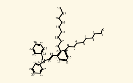 CCCCCCCCCc1cccc(/C=C/N(c2ccccc2)c2ccccc2)c1CCCCCCCCC